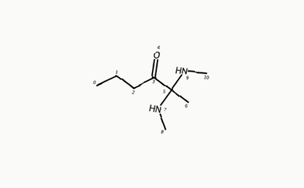 CCCC(=O)C(C)(NC)NC